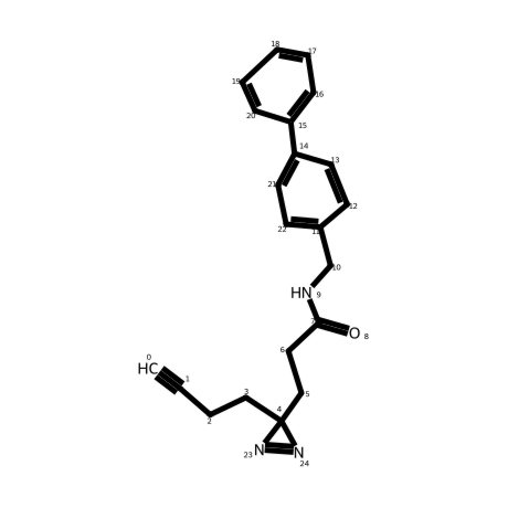 C#CCCC1(CCC(=O)NCc2ccc(-c3ccccc3)cc2)N=N1